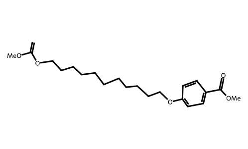 C=C(OC)OCCCCCCCCCCCOc1ccc(C(=O)OC)cc1